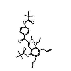 C=CCc1cc(CC=C)c(OC(=O)C(C)(C)C)c(C=C(OC)C(=O)c2ccc(OC(=O)C(C)(C)C)cc2)c1OCC